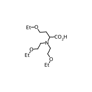 CCOCCC(C(=O)O)N(CCOCC)CCOCC